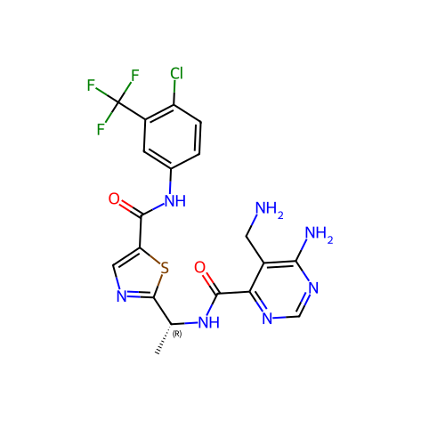 C[C@@H](NC(=O)c1ncnc(N)c1CN)c1ncc(C(=O)Nc2ccc(Cl)c(C(F)(F)F)c2)s1